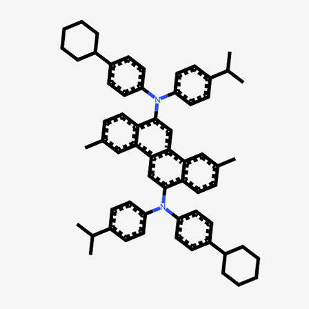 Cc1ccc2c(N(c3ccc(C(C)C)cc3)c3ccc(C4CCCCC4)cc3)cc3c4cc(C)ccc4c(N(c4ccc(C(C)C)cc4)c4ccc(C5CCCCC5)cc4)cc3c2c1